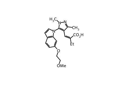 CCC(=Cc1c(C)nn(C)c1-n1ccc2ccc(OCCOC)cc21)C(=O)O